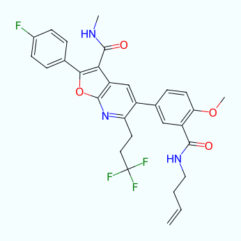 C=CCCNC(=O)c1cc(-c2cc3c(C(=O)NC)c(-c4ccc(F)cc4)oc3nc2CCC(F)(F)F)ccc1OC